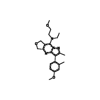 CCN(CCOC)c1c2c(nc3c(-c4ccc(OC)cc4C)c(C)nn13)COC2